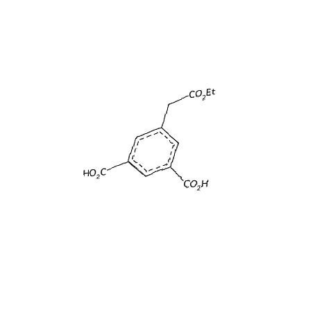 CCOC(=O)Cc1cc(C(=O)O)cc(C(=O)O)c1